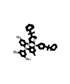 Cc1cc2c3c(c1)N(c1ccc(C(C)(C)c4ccccc4)cc1)c1ccc(C(C)(C)c4ccccc4)cc1B3c1cc(C(C)(C)C)ccc1N2c1cc(C(C)(C)C)cc(C(C)(C)C)c1